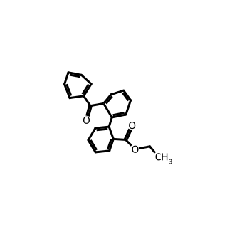 CCOC(=O)c1ccccc1-c1ccccc1C(=O)c1ccccc1